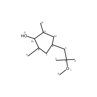 COC(C)(C)CC1CC(C)C(O)C(C)C1